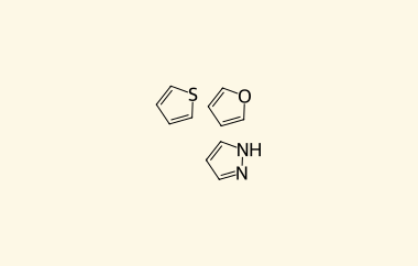 c1ccoc1.c1ccsc1.c1cn[nH]c1